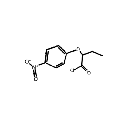 CCC(Oc1ccc([N+](=O)[O-])cc1)C(=O)Cl